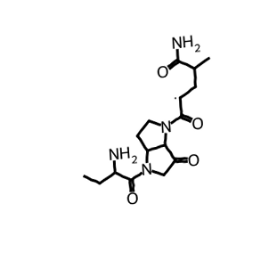 CCC(N)C(=O)N1CC(=O)C2C1CCN2C(=O)[CH]CC(C)C(N)=O